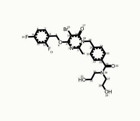 Cc1nc(OCc2ccc(F)cc2F)c(Br)c(=O)n1Cc1ccc(C(=O)N(CCO)CCO)cc1